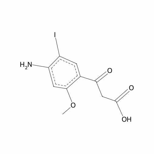 COc1cc(N)c(I)cc1C(=O)CC(=O)O